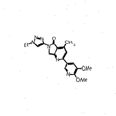 CCn1cc(N2Cc3nc(-c4cnc(OC)c(OC)c4)cc(C)c3C2=O)nn1